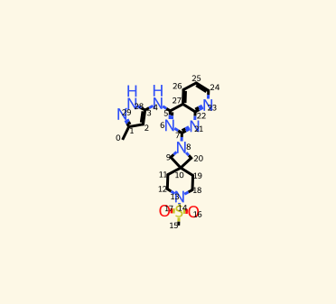 Cc1cc(Nc2nc(N3CC4(CCN(S(C)(=O)=O)CC4)C3)nc3ncccc23)[nH]n1